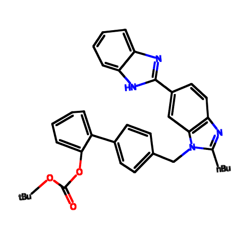 CCCCc1nc2ccc(-c3nc4ccccc4[nH]3)cc2n1Cc1ccc(-c2ccccc2OC(=O)OC(C)(C)C)cc1